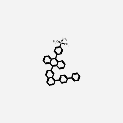 C[Si](C)(C)c1ccc(-c2c3ccccc3c(-c3ccc4cccc(-c5ccc(-c6ccccc6)cc5)c4c3)c3ccccc23)cc1